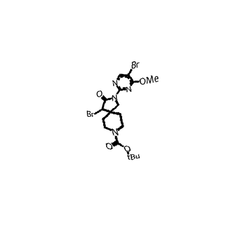 COc1nc(N2CC3(CCN(C(=O)OC(C)(C)C)CC3)C(Br)C2=O)ncc1Br